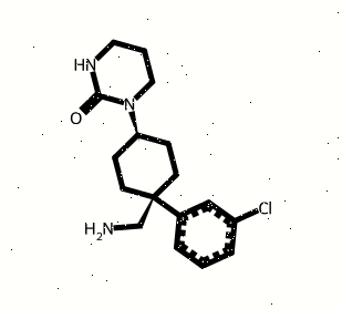 NC[C@]1(c2cccc(Cl)c2)CC[C@H](N2CCCNC2=O)CC1